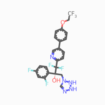 O[C@](CN1C=NNN1)(c1ccc(F)cc1F)C(F)(F)c1ccc(-c2ccc(OCC(F)(F)F)cc2)cn1